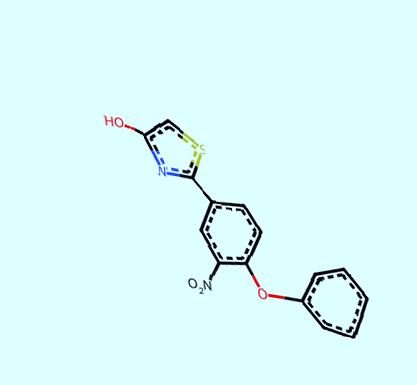 O=[N+]([O-])c1cc(-c2nc(O)cs2)ccc1Oc1ccccc1